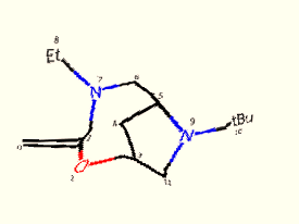 C=C1OC2CC(CN1CC)N(C(C)(C)C)C2